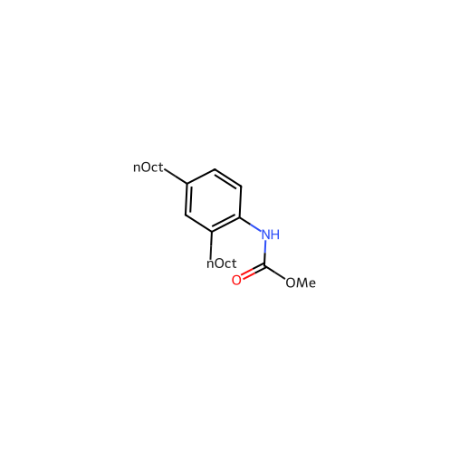 CCCCCCCCc1ccc(NC(=O)OC)c(CCCCCCCC)c1